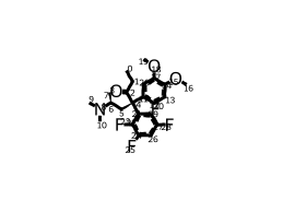 CCC(=O)[C@](C[C@H](C)N(C)C)(c1ccc(OC)c(OC)c1)c1c(F)c(F)cc(F)c1F